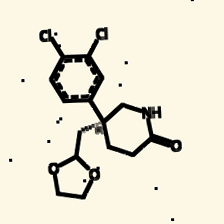 O=C1CC[C@@](CC2OCCO2)(c2ccc(Cl)c(Cl)c2)CN1